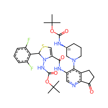 CC(C)(C)OC(=O)N[C@H]1CCCN(c2c(NC(=O)C3=CSC(c4c(F)cccc4F)N3NC(=O)OC(C)(C)C)cnc3c2CCC3=O)C1